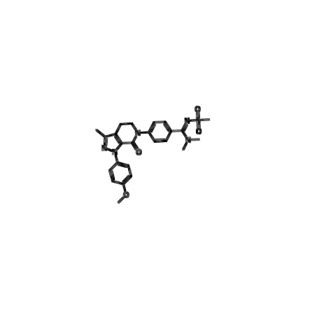 COc1ccc(-n2nc(C)c3c2C(=O)N(c2ccc(/C(=N/S(C)(=O)=O)N(C)C)cc2)CC3)cc1